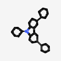 [c]1ccccc1-n1c2ccc(-c3ccccc3)cc2c2cc(-c3ccccc3)ccc21